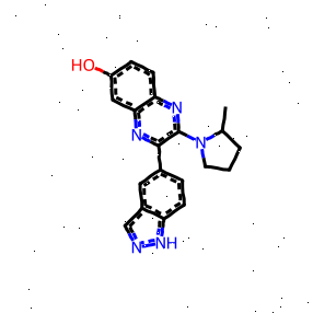 CC1CCCN1c1nc2ccc(O)cc2nc1-c1ccc2[nH]ncc2c1